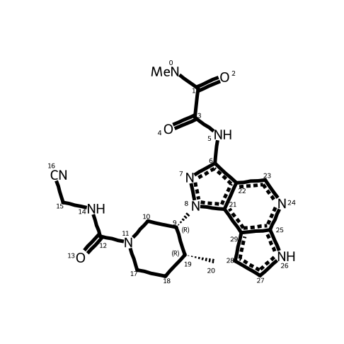 CNC(=O)C(=O)Nc1nn([C@H]2CN(C(=O)NCC#N)CC[C@H]2C)c2c1cnc1[nH]ccc12